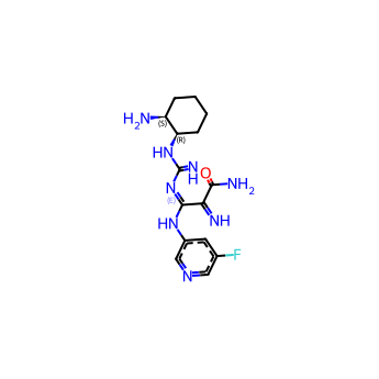 N=C(/N=C(/Nc1cncc(F)c1)C(=N)C(N)=O)N[C@@H]1CCCC[C@@H]1N